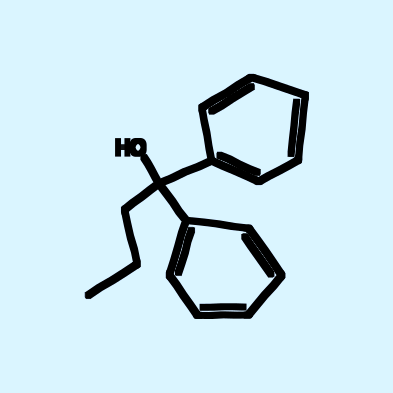 CCCC(O)(c1ccccc1)c1ccccc1